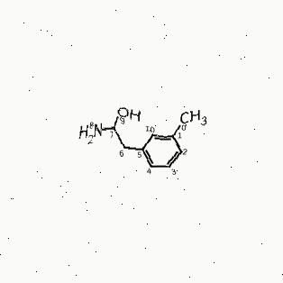 Cc1cccc(CC(N)O)c1